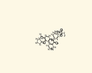 CCS(=O)(=O)Nc1ccc(N(C(=O)c2cccnc2)c2ccc(OC)c(OC3CCCC3)c2)cc1